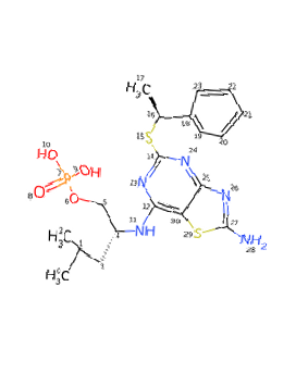 CC(C)C[C@H](COP(=O)(O)O)Nc1nc(S[C@@H](C)c2ccccc2)nc2nc(N)sc12